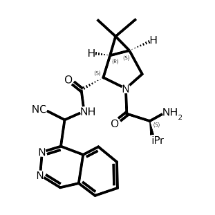 CC(C)[C@H](N)C(=O)N1C[C@H]2[C@@H]([C@H]1C(=O)NC(C#N)c1nncc3ccccc13)C2(C)C